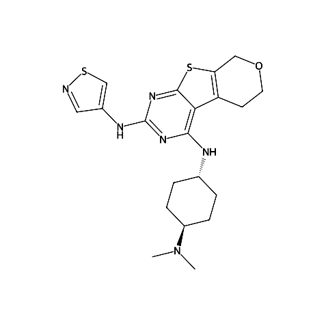 CN(C)[C@H]1CC[C@H](Nc2nc(Nc3cnsc3)nc3sc4c(c23)CCOC4)CC1